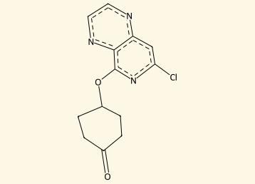 O=C1CCC(Oc2nc(Cl)cc3nccnc23)CC1